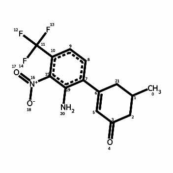 CC1CC(=O)C=C(c2ccc(C(F)(F)F)c([N+](=O)[O-])c2N)C1